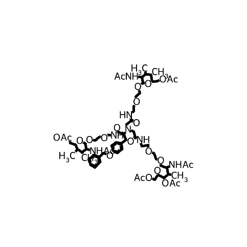 CC(=O)NC1C(OCCOCCNC(=O)CN(CC(=O)NCCOCCOC2OC(COC(C)=O)C(OC(C)=O)C(C)C2NC(C)=O)C(Cc2ccc(OCc3ccccc3)cc2)C(=O)NCOCCOC2OC(COC(C)=O)C(C)C(C)C2NC(C)=O)OC(COC(C)=O)C(C)C1C